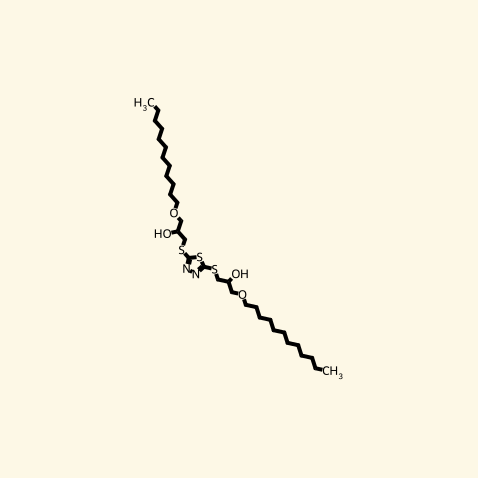 CCCCCCCCCCCCOCC(O)CSc1nnc(SCC(O)COCCCCCCCCCCCC)s1